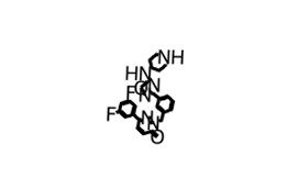 O=c1ccc(-c2cc(F)cc(F)c2)nn1Cc1cccc(-c2noc(NC3CCNCC3)n2)c1